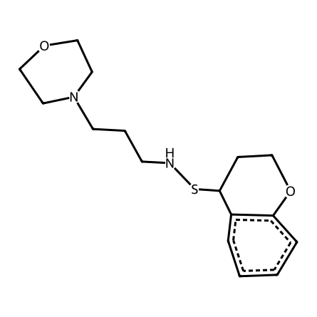 c1ccc2c(c1)OCCC2SNCCCN1CCOCC1